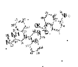 CN(C)c1cccc2c(S(=O)(=O)N(CCN(Cc3cnc[nH]3)c3ccccc3)Cc3ccccc3)cccc12